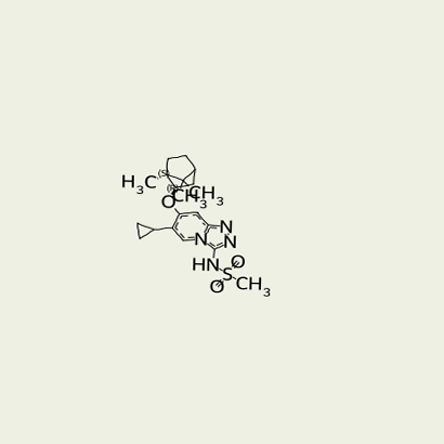 CC1(C)C2CC[C@]1(C)[C@H](Oc1cc3nnc(NS(C)(=O)=O)n3cc1C1CC1)C2